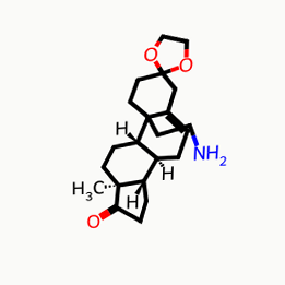 C[C@]12CC[C@H]3[C@@H](CC=C4CC5(CCC43CCN)OCCO5)[C@@H]1CCC2=O